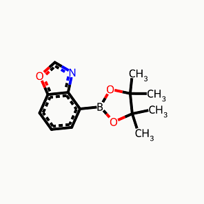 CC1(C)OB(c2cccc3ocnc23)OC1(C)C